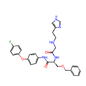 O=C(CNCCc1c[nH]cn1)N[C@@H](COCc1ccccc1)C(=O)Nc1ccc(Oc2ccc(F)cc2)cc1